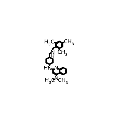 Cc1cc(C)c(CNCC2CCC(Nc3cc(N(C)C)c4ccccc4n3)CC2)c(C)c1